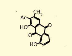 CC(=O)c1c(C)cc2c(c1O)C(=O)c1c(O)cccc1C2=O